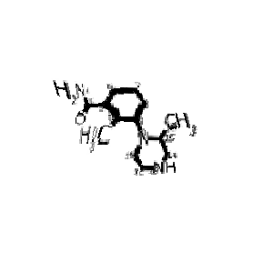 Cc1c(C(N)=O)cccc1N1CCNCC1C